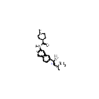 CN(N)/C=C(\N)c1ccc2cnc(NC(=O)C3CCNCC3)cc2c1